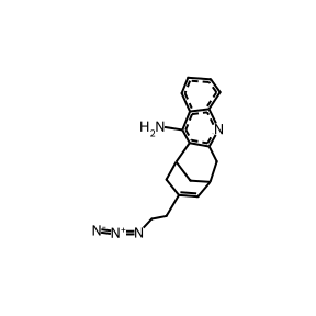 [N-]=[N+]=NCCC1=CC2Cc3nc4ccccc4c(N)c3C(C1)C2